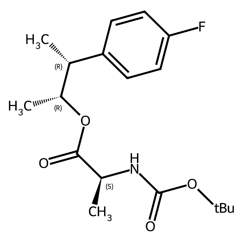 C[C@H](NC(=O)OC(C)(C)C)C(=O)O[C@H](C)[C@H](C)c1ccc(F)cc1